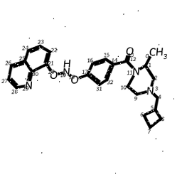 CC1CN(CC2CCC2)CCN1C(=O)c1ccc(ONOc2cccc3cccnc23)cc1